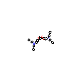 Cc1c2oc3cc4cc(N(c5ccc(-c6ccccc6)cc5)c5ccc(-c6ccccc6)cc5)ccc4cc3c2cc2c1oc1cc3cc(N(c4ccc(-c5ccccc5)cc4)c4ccc(-c5ccccc5)cc4)ccc3cc12